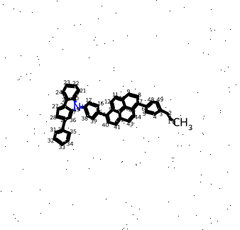 CCCc1ccc(-c2ccc3ccc4c(-c5ccc(-n6c7ccccc7c7ccc(-c8ccccc8)cc76)cc5)ccc5ccc2c3c54)cc1